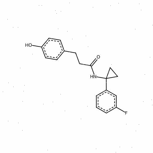 O=C(CCc1ccc(O)cc1)NC1(c2cccc(F)c2)CC1